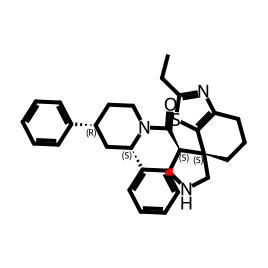 CCc1nc2c(s1)[C@]1(CCC2)CNC[C@H]1C(=O)N1CC[C@@H](c2ccccc2)C[C@H]1c1ccccc1